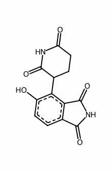 O=C1CCC(c2c(O)ccc3c2C(=O)NC3=O)C(=O)N1